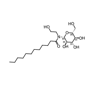 CCCCCCCCCCCC(=O)N(CCO)[C@@H]1O[C@H](CO)[C@@H](O)[C@H](O)[C@H]1O